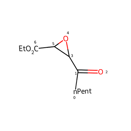 CCCCCC(=O)C1OC1C(=O)OCC